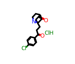 Cl.O=C(CCC1C(=O)C2CCN1CC2)c1ccc(Cl)cc1